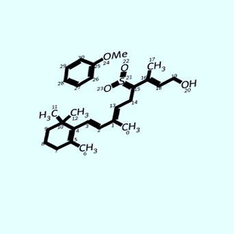 CC(C=CC1=C(C)CCCC1(C)C)=CCC(C(C)=CCO)=S(=O)=O.COc1ccccc1